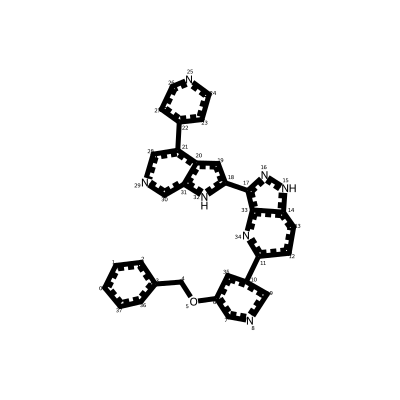 c1ccc(COc2cncc(-c3ccc4[nH]nc(-c5cc6c(-c7ccncc7)cncc6[nH]5)c4n3)c2)cc1